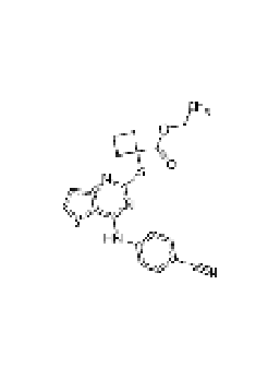 CCOC(=O)C1(Sc2nc(Nc3ccc(C#N)cc3)c3sccc3n2)CCC1